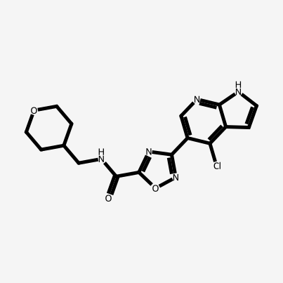 O=C(NCC1CCOCC1)c1nc(-c2cnc3[nH]ccc3c2Cl)no1